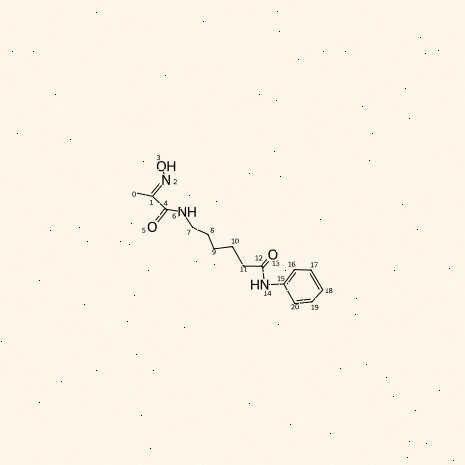 CC(=NO)C(=O)NCCCCCC(=O)Nc1ccccc1